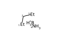 B.CCCCC.N